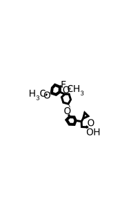 COc1ccc(F)c([C@]2(OC)CC[C@@H](COc3cccc(C(CC(=O)O)C4CC4)c3)CC2)c1